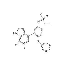 CCS(=O)(CC)=Nc1ccc(Oc2ccccc2)c(-c2cn(C)c(=O)c3[nH]ccc23)c1